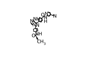 CC#CC(=O)NC12CCC(c3nc(-c4ccc(C(=O)Nc5cc(C#N)ccn5)cc4)c4c(N)nccn34)(CC1)C2